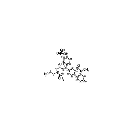 C=CCN1C[C@H](C)N(C(c2cccc(OP(=O)(O)O)c2)c2cccc(C(=O)N(C)c3cccc(F)c3)c2)C[C@H]1C